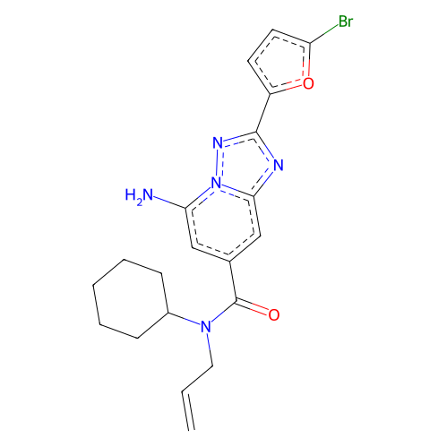 C=CCN(C(=O)c1cc(N)n2nc(-c3ccc(Br)o3)nc2c1)C1CCCCC1